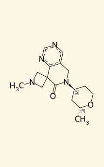 C[C@@H]1C[C@@H](N2Cc3cncnc3C3(CN(C)C3)C2=O)CCO1